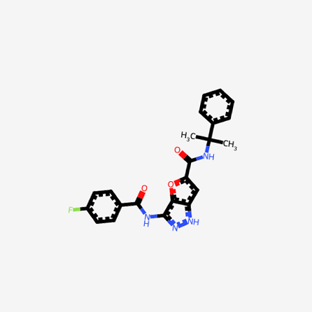 CC(C)(NC(=O)c1cc2[nH]nc(NC(=O)c3ccc(F)cc3)c2o1)c1ccccc1